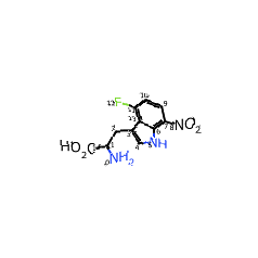 NC(Cc1c[nH]c2c([N+](=O)[O-])ccc(F)c12)C(=O)O